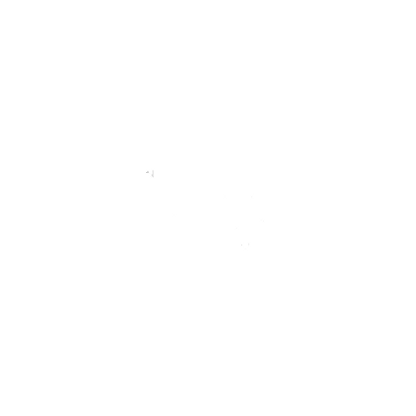 CC(C)(C(=O)C(=O)O)c1c[nH]c2ccccc12